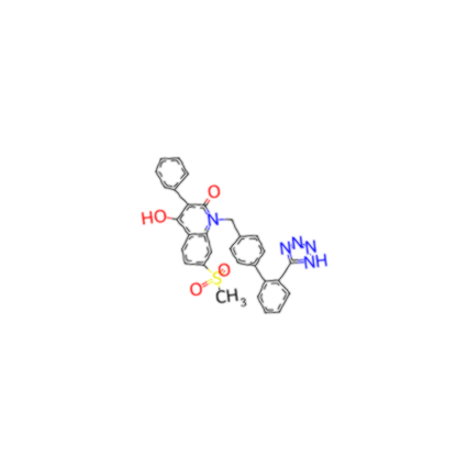 CS(=O)(=O)c1ccc2c(O)c(-c3ccccc3)c(=O)n(Cc3ccc(-c4ccccc4-c4nnn[nH]4)cc3)c2c1